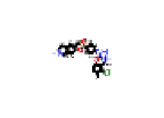 Cc1cccc([C@H](C)NC(=O)Nc2ccc(S(=O)(=O)Cc3ccc4c(c3)CCNC4)cc2)c1Cl